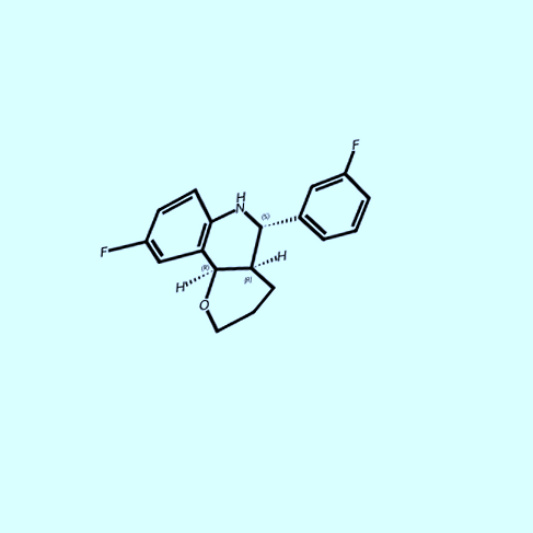 Fc1cccc([C@H]2Nc3ccc(F)cc3[C@@H]3OCCC[C@H]23)c1